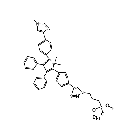 CCO[Si](CCCn1cc(-c2ccc(C3=C(c4ccccc4)C(c4ccccc4)=C(c4ccc(-c5cn(C)nn5)cc4)[Si]3(C)C)cc2)nn1)(OCC)OCC